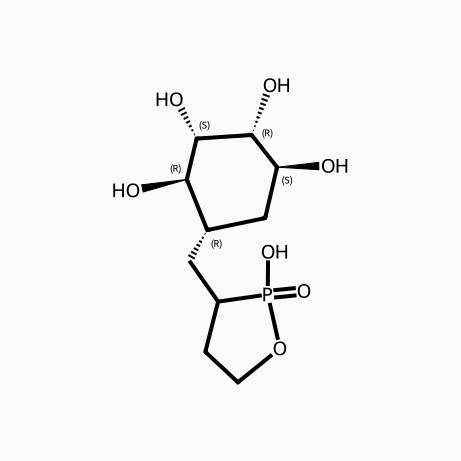 O=P1(O)OCCC1C[C@H]1C[C@H](O)[C@@H](O)[C@@H](O)[C@@H]1O